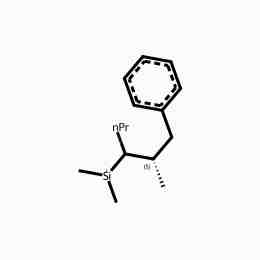 CCCC([C@@H](C)Cc1ccccc1)[Si](C)C